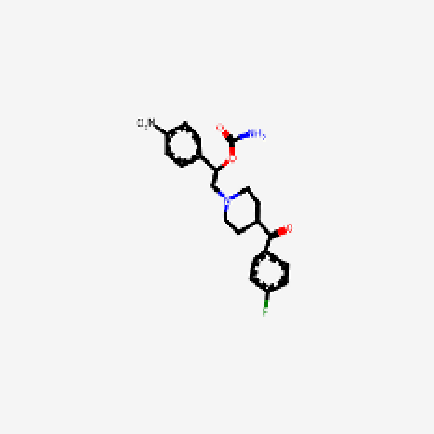 NC(=O)OC(CN1CCC(C(=O)c2ccc(F)cc2)CC1)c1ccc([N+](=O)[O-])cc1